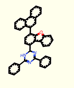 c1ccc(C2=NC(c3ccc(-c4cc5ccccc5c5ccccc45)c4oc5ccccc5c34)NC(c3ccccc3)=N2)cc1